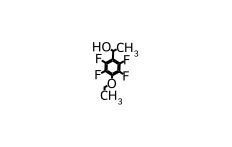 CCOc1c(F)c(F)c(C(C)O)c(F)c1F